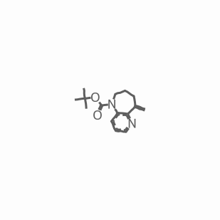 C=C1CCCN(C(=O)OC(C)(C)C)c2cccnc21